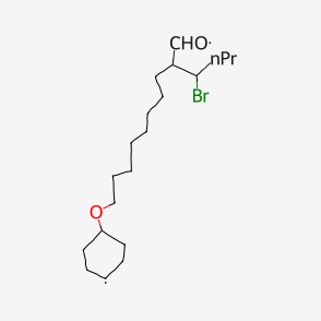 CCCC(Br)C([C]=O)CCCCCCCCOC1CC[CH]CC1